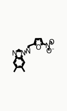 Cc1cc2ncn(N=Cc3ccc([N+](=O)[O-])o3)c2cc1C